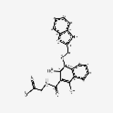 O=C(O)CNC(=O)C1=C(O)c2ccccc2N(OCc2nc3ccccc3o2)C1O